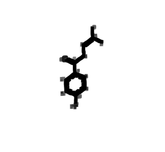 CC(C)=CCC(=O)c1ccc(F)cc1